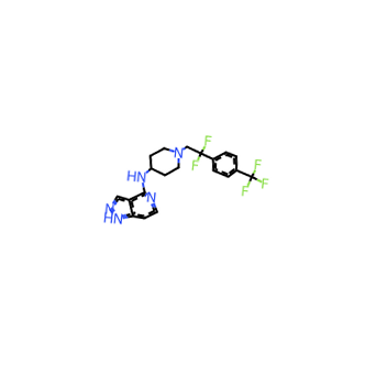 FC(F)(F)c1ccc(C(F)(F)CN2CCC(Nc3nccc4[nH]ncc34)CC2)cc1